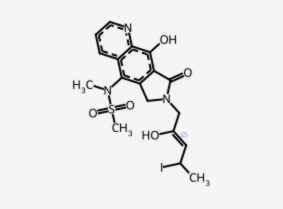 CC(I)/C=C(\O)CN1Cc2c(c(O)c3ncccc3c2N(C)S(C)(=O)=O)C1=O